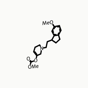 COC(=O)OC1=CCCN(CCC2CCc3ccc(OC)cc32)C1